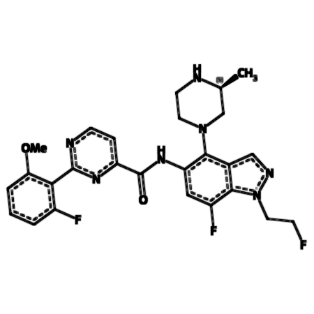 COc1cccc(F)c1-c1nccc(C(=O)Nc2cc(F)c3c(cnn3CCF)c2N2CCN[C@@H](C)C2)n1